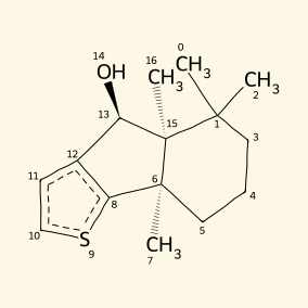 CC1(C)CCC[C@@]2(C)c3sccc3[C@@H](O)[C@@]12C